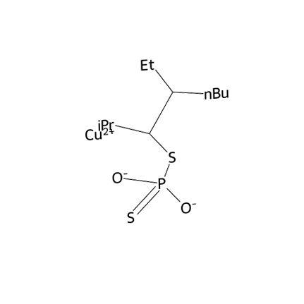 CCCCC(CC)C(SP([O-])([O-])=S)C(C)C.[Cu+2]